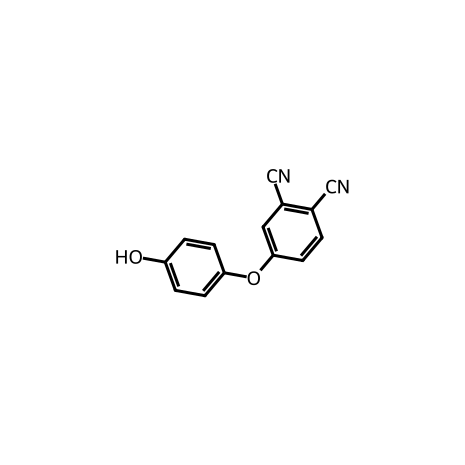 N#Cc1ccc(Oc2ccc(O)cc2)cc1C#N